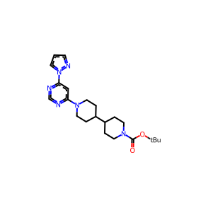 CC(C)(C)OC(=O)N1CCC(C2CCN(c3cc(-n4cccn4)ncn3)CC2)CC1